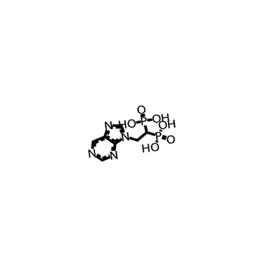 O=P(O)(O)C(Cn1cnc2cncnc21)P(=O)(O)O